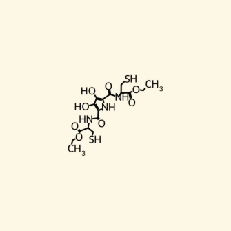 CCOC(=O)C(CS)NC(=O)c1[nH]c(C(=O)NC(CS)C(=O)OCC)c(O)c1O